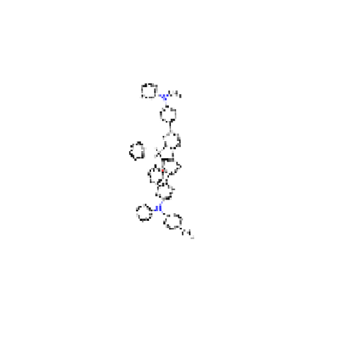 Cc1ccc(N(c2ccccc2)c2ccc(-c3ccc4c(c3)C(Cc3ccccc3)(Cc3ccccc3)c3cc(-c5ccc(N(C)c6ccccc6)cc5)ccc3-4)cc2)cc1